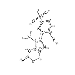 CC(C)c1c(-c2cc(S(C)(=O)=O)ccc2F)nn2c1O[C@H](C)CC2